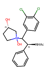 CC(=O)N[C@@H](c1ccccc1)C(c1ccc(Cl)c(Cl)c1)[N+]1(O)CC[C@H](O)C1